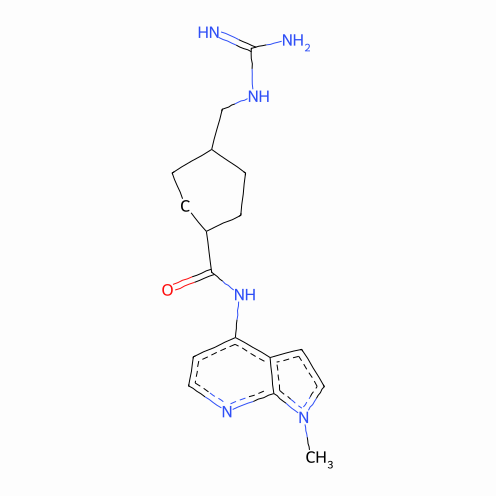 Cn1ccc2c(NC(=O)C3CCC(CNC(=N)N)CC3)ccnc21